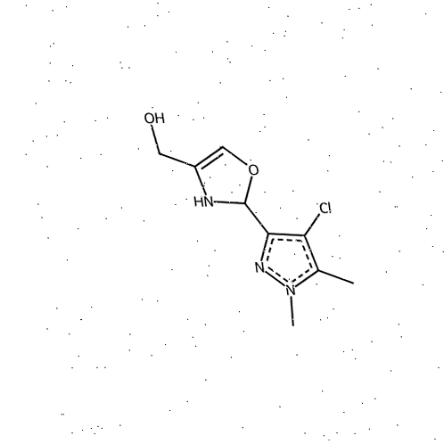 Cc1c(Cl)c(C2NC(CO)=CO2)nn1C